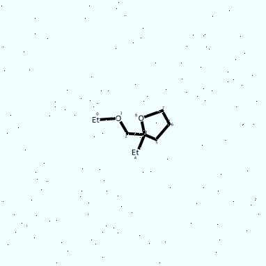 [CH2]COCC1(CC)CCCO1